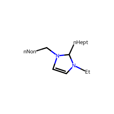 CCCCCCCCCCN1C=CN(CC)C1CCCCCCC